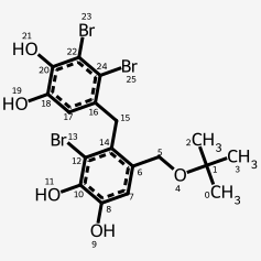 CC(C)(C)OCc1cc(O)c(O)c(Br)c1Cc1cc(O)c(O)c(Br)c1Br